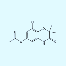 CC(=O)Oc1cc(Cl)c2c(c1)NC(=O)C(C)(C)O2